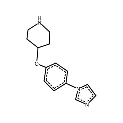 c1cn(-c2ccc(OC3CCNCC3)cc2)cn1